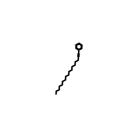 CCCCCCCCCCCCCCCC#Cc1c[c]ccc1